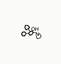 Oc1c(CN2CCCCC2)ccc(-c2ccccc2)c1-c1ccccc1